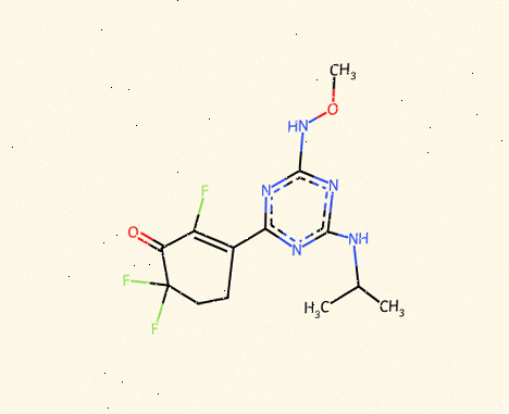 CONc1nc(NC(C)C)nc(C2=C(F)C(=O)C(F)(F)CC2)n1